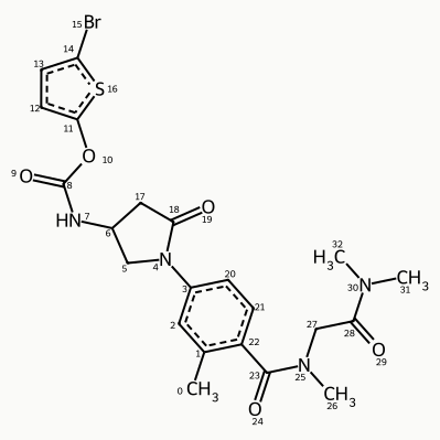 Cc1cc(N2CC(NC(=O)Oc3ccc(Br)s3)CC2=O)ccc1C(=O)N(C)CC(=O)N(C)C